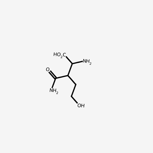 NC(=O)C(CCO)C(N)C(=O)O